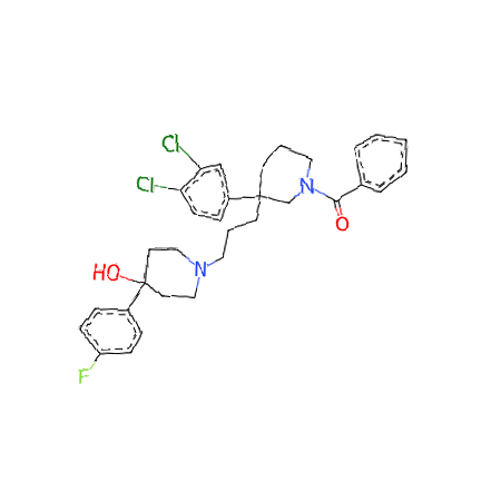 O=C(c1ccccc1)N1CCCC(CCCN2CCC(O)(c3ccc(F)cc3)CC2)(c2ccc(Cl)c(Cl)c2)C1